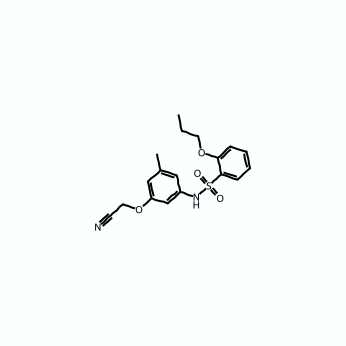 CCCOc1ccccc1S(=O)(=O)Nc1cc(C)cc(OCC#N)c1